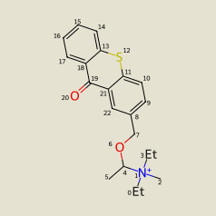 CC[N+](C)(CC)C(C)OCc1ccc2sc3ccccc3c(=O)c2c1